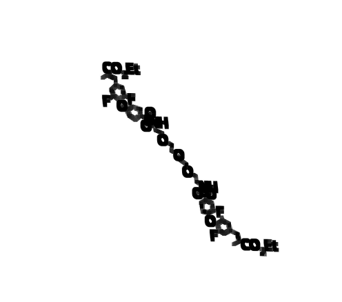 CCOC(=O)/C(C)=C/c1cc(F)c(Oc2ccc(S(=O)(=O)NCCOCCOCCOCCNS(=O)(=O)c3ccc(Oc4c(F)cc(/C=C(\C)C(=O)OCC)cc4F)cc3)cc2)c(F)c1